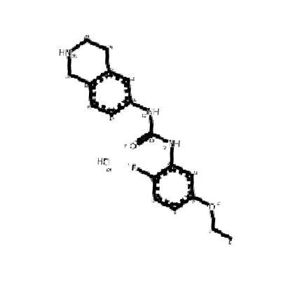 CCOc1ccc(F)c(NC(=O)Nc2ccc3c(c2)CCNC3)c1.Cl